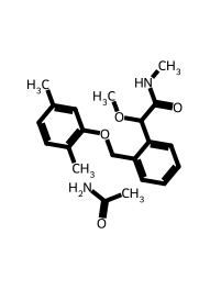 CC(N)=O.CNC(=O)C(OC)c1ccccc1COc1cc(C)ccc1C